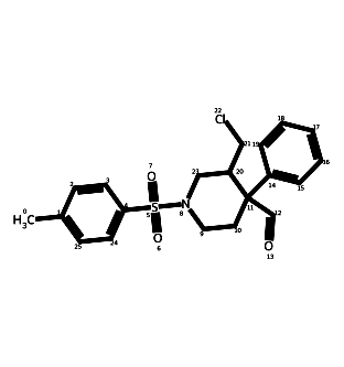 Cc1ccc(S(=O)(=O)N2CCC(C=O)(c3ccccc3)C(CCl)C2)cc1